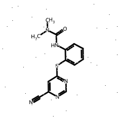 CN(C)C(=O)Nc1ccccc1Sc1cc(C#N)ncn1